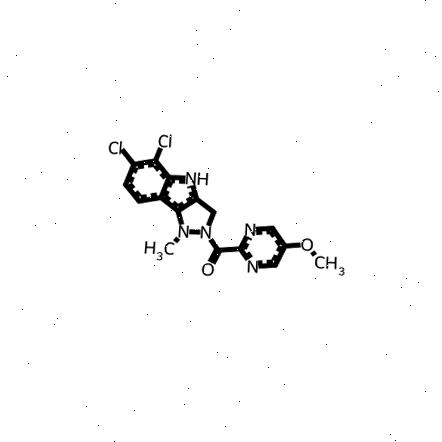 COc1cnc(C(=O)N2Cc3[nH]c4c(Cl)c(Cl)ccc4c3N2C)nc1